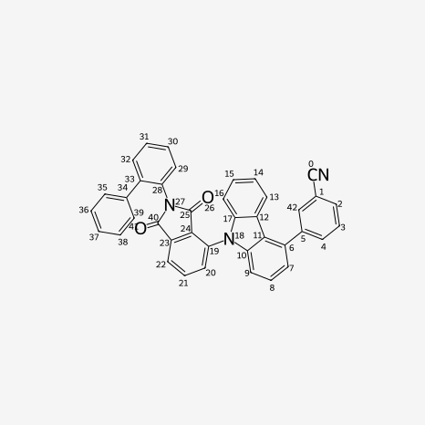 N#Cc1cccc(-c2cccc3c2c2ccccc2n3-c2cccc3c2C(=O)N(c2ccccc2-c2ccccc2)C3=O)c1